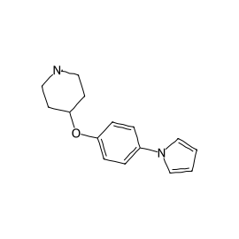 c1ccn(-c2ccc(OC3CC[N]CC3)cc2)c1